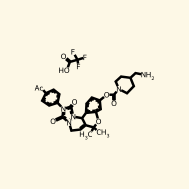 CC(=O)c1ccc(-n2c(=O)n3n(c2=O)C2C(=CC3)C(C)(C)Oc3cc(OC(=O)N4CCC(CN)CC4)ccc32)cc1.O=C(O)C(F)(F)F